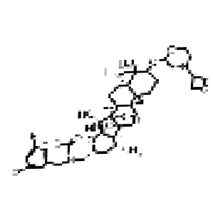 CC(=O)N(Cc1cc(F)cc(F)c1)C[C@H]1C[C@@H](C)[C@H]2[C@H](O1)[C@H](O)[C@@]1(C)[C@@H]3CC[C@H]4C(C)(C)C(OC5CN(C6COC6)CCO5)CCC45C[C@@]35CC[C@]21C